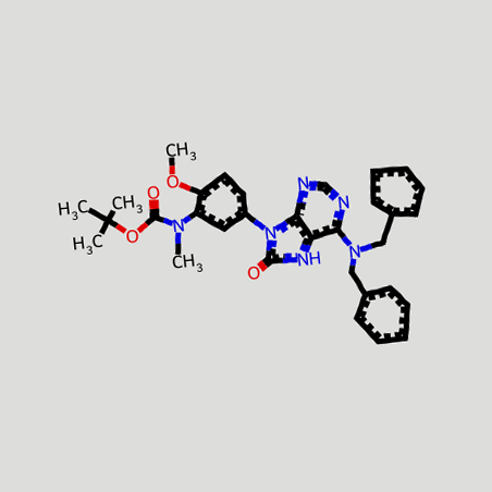 COc1ccc(-n2c(=O)[nH]c3c(N(Cc4ccccc4)Cc4ccccc4)ncnc32)cc1N(C)C(=O)OC(C)(C)C